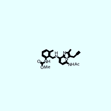 C#CCc1c(C)nc2c(NCc3c(C)cccc3NC(=O)OC)ccc(NC(C)=O)n12